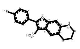 O=C(O)c1c(-c2ccc(F)cc2)oc2cc3c(cc12)CCCN3